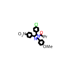 COc1ccc(C2=NC(c3ccc([N+](=O)[O-])cc3)C(c3ccc(Cl)cc3)N2C(=O)C(C)C)cc1